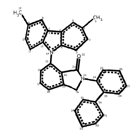 Cc1ccc2c(c1)c1cc(C)ccc1n2-c1cccc2c1C(=O)N(c1ccccc1-c1ccccc1)C2